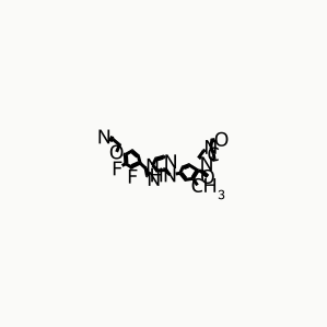 Cc1cc(Nc2nccn3c(-c4ccc(OCC#N)c(F)c4F)cnc23)ccc1C(=O)N1CCN(C=O)CC1